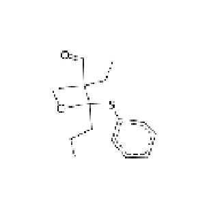 CCCC(OC)(Sc1ccccc1)C(C)(C=O)CC